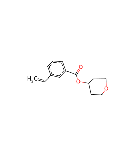 C=Cc1cccc(C(=O)OC2CCOCC2)c1